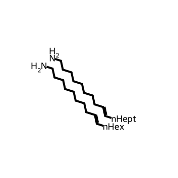 CCCCCCC=CCCCCCCCCN.CCCCCCCC=CCCCCCCCCN